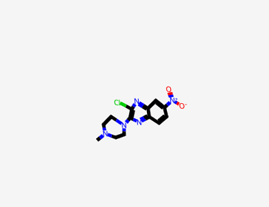 CN1CCN(c2nc3ccc([N+](=O)[O-])cc3nc2Cl)CC1